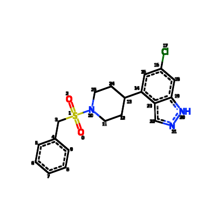 O=S(=O)(Cc1ccccc1)N1CCC(c2cc(Cl)cc3[nH]ncc23)CC1